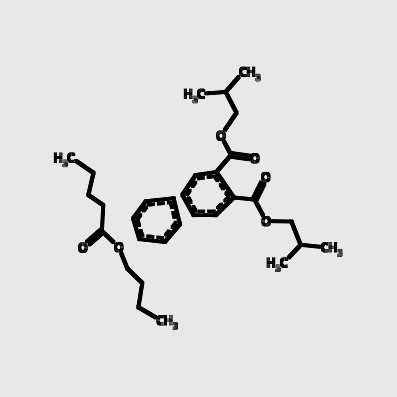 CC(C)COC(=O)c1ccccc1C(=O)OCC(C)C.CCCCOC(=O)CCCC.c1ccccc1